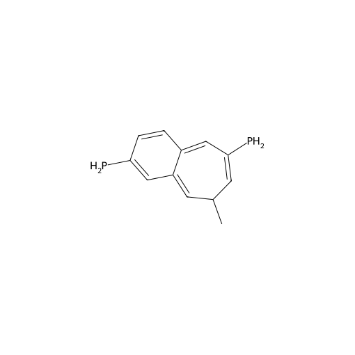 CC1C=C(P)C=c2ccc(P)cc2=C1